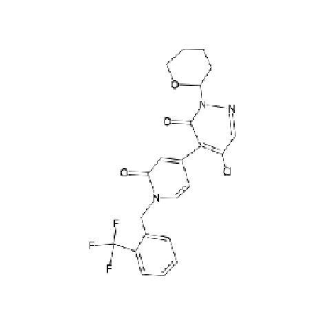 O=c1cc(-c2c(Cl)cnn(C3CCCCO3)c2=O)ccn1Cc1ccccc1C(F)(F)F